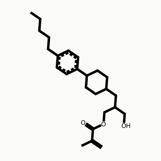 C=C(C)C(=O)OCC(CO)CC1CCC(c2ccc(CCCCC)cc2)CC1